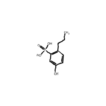 CCCc1ccc(O)cc1P(=O)(O)O